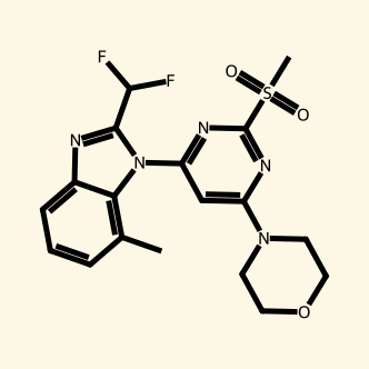 Cc1cccc2nc(C(F)F)n(-c3cc(N4CCOCC4)nc(S(C)(=O)=O)n3)c12